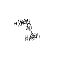 CC(=O)/C(=C\N(C)C)c1ccc(OCCCCC(C)(C)[Si](C)(C)O)nc1